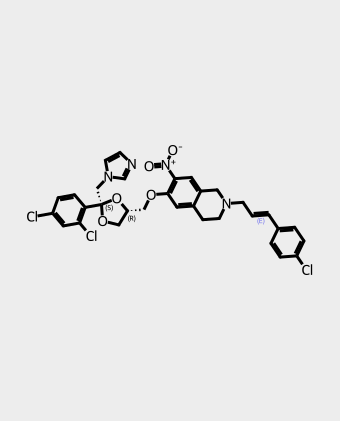 O=[N+]([O-])c1cc2c(cc1OC[C@@H]1CO[C@@](Cn3ccnc3)(c3ccc(Cl)cc3Cl)O1)CCN(C/C=C/c1ccc(Cl)cc1)C2